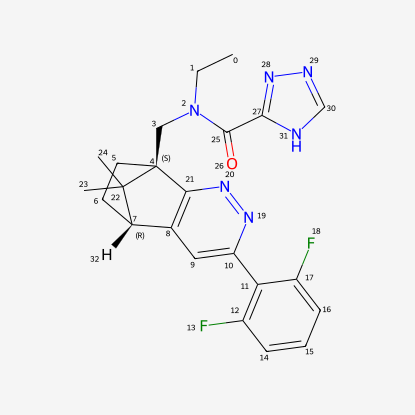 CCN(C[C@@]12CC[C@@H](c3cc(-c4c(F)cccc4F)nnc31)C2(C)C)C(=O)c1nnc[nH]1